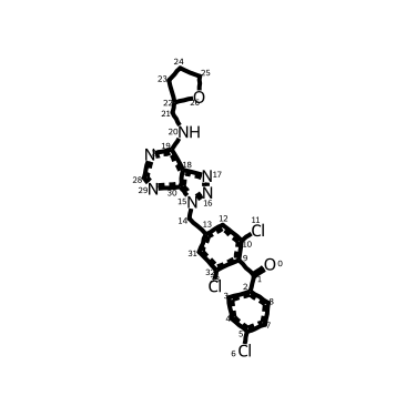 O=C(c1ccc(Cl)cc1)c1c(Cl)cc(Cn2nnc3c(NCC4CCCO4)ncnc32)cc1Cl